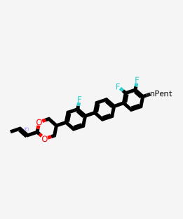 C/C=C/C1OCC(c2ccc(-c3ccc(-c4ccc(CCCCC)c(F)c4F)cc3)c(F)c2)CO1